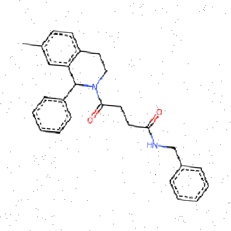 Cc1ccc2c(c1)C(c1ccccc1)N(C(=O)CCC(=O)NCc1ccccc1)CC2